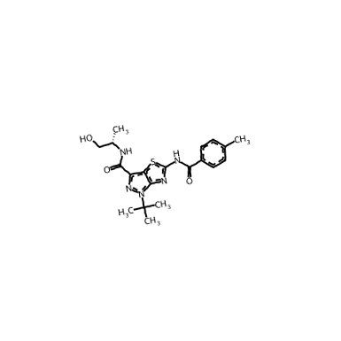 Cc1ccc(C(=O)Nc2nc3c(s2)c(C(=O)N[C@@H](C)CO)nn3C(C)(C)C)cc1